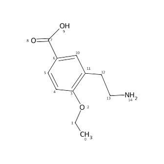 CCOc1ccc(C(=O)O)cc1CCN